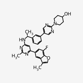 Cc1nc(N[C@@H](C)c2cccc(-c3cnc(N4CCC(O)CC4)nc3)c2)cc(-c2cc(F)c3occ(C)c3c2)n1